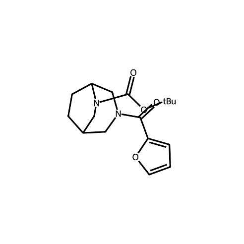 CC(C)(C)OC(=O)N1CC2CCC1CN(C(=O)c1ccco1)C2